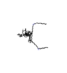 CCCCCCCC/C=C\CCCCCCCC(=O)OCC(COS(=O)(=O)NCCN(CC)CC)OC(=O)CCCCCCC/C=C\CCCCCCCC